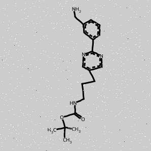 CC(C)(C)OC(=O)NCCCc1cnc(-c2cccc(CN)c2)nc1